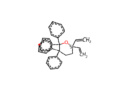 C=C[Si]1(C=C)CCC(c2ccccc2)(c2ccccc2)C(c2ccccc2)(c2ccccc2)O1